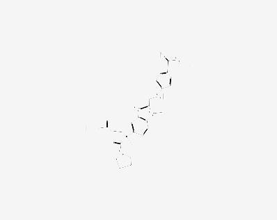 Cn1c(CNc2ccc(C(=N)N)cc2)nc2cc(C(C)(CCC(=O)O)C(=O)N3CCCC3)ccc21